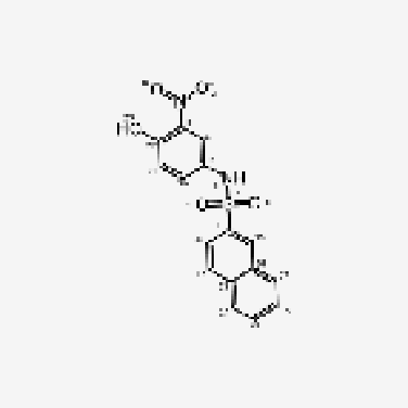 O=[N+]([O-])c1cc(NS(=O)(=O)c2ccc3ccccc3c2)ccc1O